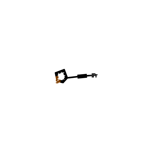 CC(C)C#Cc1ccsc1